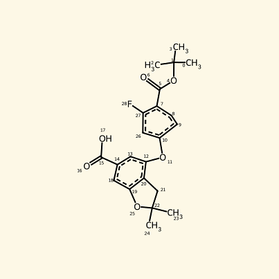 CC(C)(C)OC(=O)c1ccc(Oc2cc(C(=O)O)cc3c2CC(C)(C)O3)cc1F